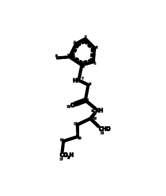 Cc1ccccc1NCC(=O)NC(C=O)CCCC(=O)O